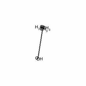 CO[Si](CCCCCCCCCCCCCCCCCCCCCCCCCCCCCCCCCCCC(=O)O)(OC)OC